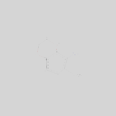 COc1ccc2c(c1N)OCCO2